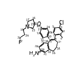 Cc1cc(Cl)ccc1C1=C(c2ccc(O[C@H]3CCN(CCCF)C3)cc2)c2ccc(N)cc2CCC1